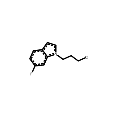 Fc1ccc2ccn(CCCCl)c2c1